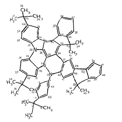 CC(C)(C)c1ccc(N2B3c4cc(C(C)(C)C)ccc4-n4c5ccc(C(C)(C)C)cc5c5c6c(c(c3c54)-c3cc4c(cc32)C(C)(C)c2ccccc2-4)C(C)(C)c2ccccc2-6)cc1